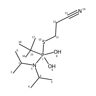 CC(C)N(C(C)C)P(O)(O)(SCCC#N)C(C)(C)C